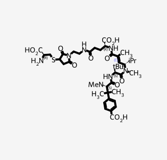 CN[C@H](C(=O)N[C@H](C(=O)N(C)[C@H](/C=C(\C)C(=O)N[C@H](CCC(=O)NCCN1C(=O)CC(SC[C@H](N)C(=O)O)C1=O)C(=O)O)C(C)C)C(C)(C)C)C(C)(C)c1ccc(C(=O)O)cc1